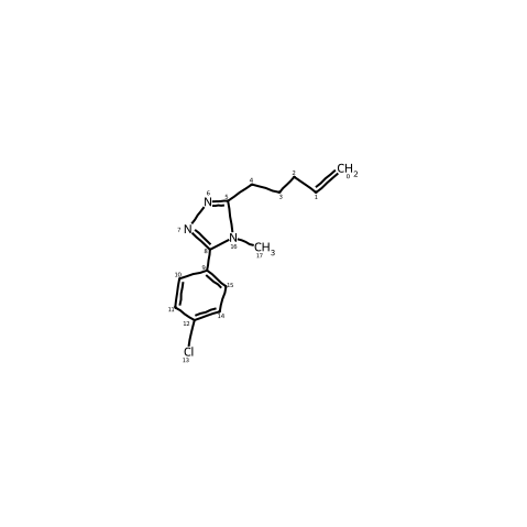 C=CCCCc1nnc(-c2ccc(Cl)cc2)n1C